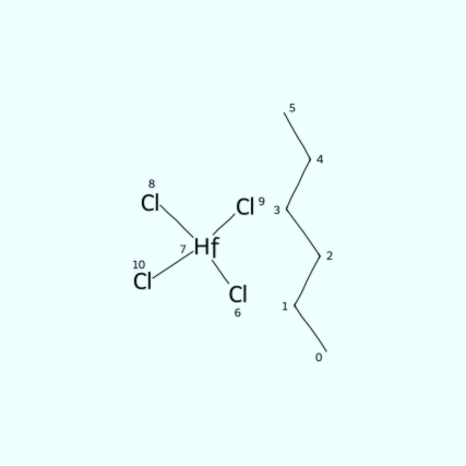 CCCCCC.[Cl][Hf]([Cl])([Cl])[Cl]